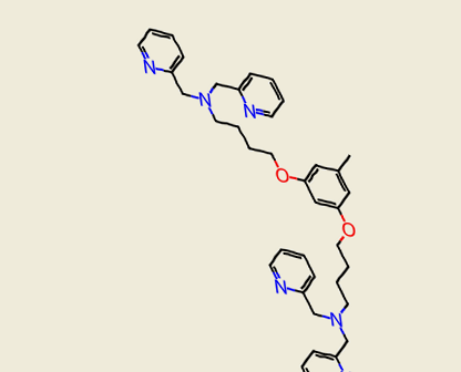 Cc1cc(OCCCCN(Cc2ccccn2)Cc2ccccn2)cc(OCCCCN(Cc2ccccn2)Cc2ccccn2)c1